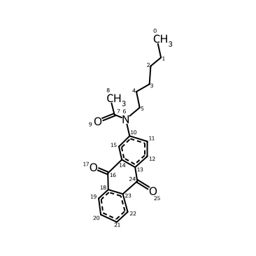 CCCCCCN(C(C)=O)c1ccc2c(c1)C(=O)c1ccccc1C2=O